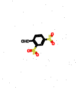 O=Cc1ccc([SH](=O)=O)cc1[SH](=O)=O